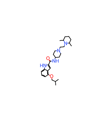 CC(C)COc1cccc2[nH]c(C(=O)NC3CCN(CCN4C(C)CCCC4C)CC3)cc12